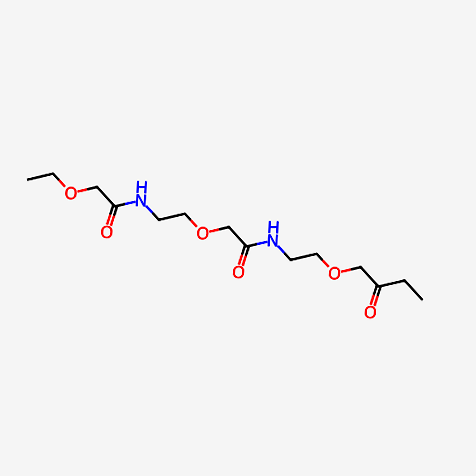 CCOCC(=O)NCCOCC(=O)NCCOCC(=O)CC